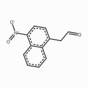 O=CCc1ccc([N+](=O)[O-])c2ccccc12